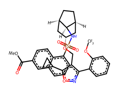 COC(=O)c1ccc2c(S(=O)(=O)N[C@H]3[C@@H]4CC[C@H]3C[C@H](OCc3c(-c5ccccc5OC(F)(F)F)noc3C3CC3)C4)cccc2c1